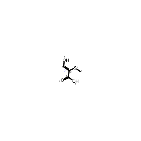 CS/C(=C\O)C(=O)O